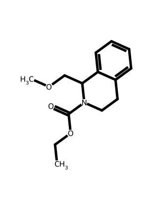 CCOC(=O)N1CCc2ccccc2C1COC